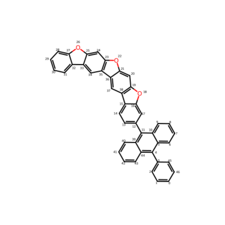 c1ccc(-c2c3ccccc3c(-c3ccc4c(c3)oc3cc5oc6cc7oc8ccccc8c7cc6c5cc34)c3ccccc23)cc1